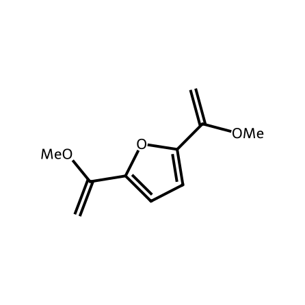 C=C(OC)c1ccc(C(=C)OC)o1